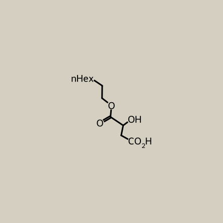 CCCCCCCCOC(=O)C(O)CC(=O)O